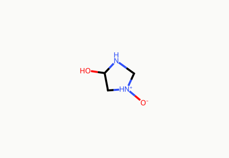 [O-][NH+]1CNC(O)C1